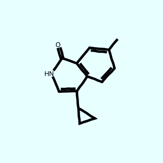 Cc1ccc2c(C3CC3)c[nH]c(=O)c2c1